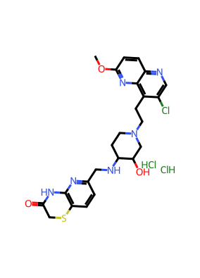 COc1ccc2ncc(Cl)c(CCN3CCC(NCc4ccc5c(n4)NC(=O)CS5)C(O)C3)c2n1.Cl.Cl